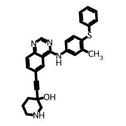 Cc1cc(Nc2ncnc3ccc(C#CC4(O)CCCNC4)cc23)ccc1Sc1ccccc1